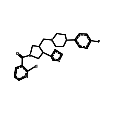 O=C(c1cccnc1Cl)N1CC(CN2CCC(c3ccc(F)cc3)CC2)C(c2ccsc2)C1